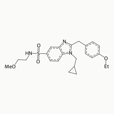 CCOc1ccc(Cc2nc3cc(S(=O)(=O)NCCOC)ccc3n2CC2CC2)cc1